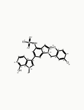 CCS(=O)(=O)Nc1cc(-c2cn(C)c3c(O)nccc23)cc2c1ccn2Cc1cc(Cl)ccc1OC